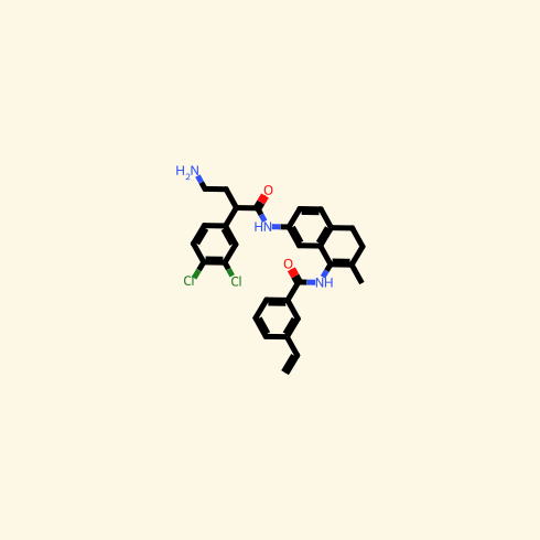 C=Cc1cccc(C(=O)NC2=C(C)CCc3ccc(NC(=O)C(CCN)c4ccc(Cl)c(Cl)c4)cc32)c1